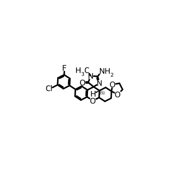 CN1C(=O)C2(N=C1N)c1cc(-c3cc(F)cc(Cl)c3)ccc1OC1CCC3(C[C@H]12)OCCO3